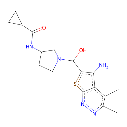 Cc1nnc2sc(C(O)N3CCC(NC(=O)C4CC4)C3)c(N)c2c1C